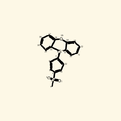 CS(=O)(=O)c1ccc([S+]2c3ccccc3Oc3ccccc32)cc1